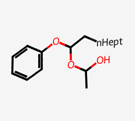 CCCCCCCCC(Oc1ccccc1)OC(C)O